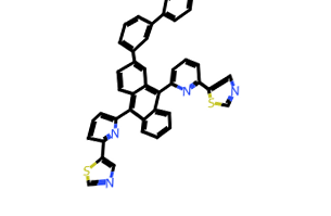 c1ccc(-c2cccc(-c3ccc4c(-c5cccc(-c6cncs6)n5)c5ccccc5c(-c5cccc(-c6cncs6)n5)c4c3)c2)cc1